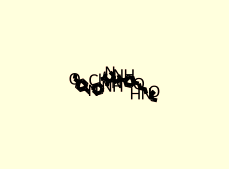 CCC(=O)NCCOc1ccc(-c2nc3c(NC4CCN(Cc5ccc(OC)cc5)CC4)c(Cl)cnc3[nH]2)cc1